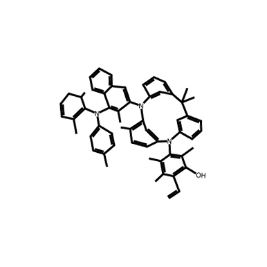 C=Cc1c(C)c(C)c(N2c3cccc(c3)C(C)(C)c3cccc(c3)N(c3cc4ccccc4c(N(C4=C(C)C=CCC4C)c4ccc(C)cc4)c3C)c3cc2ccc3C)c(C)c1O